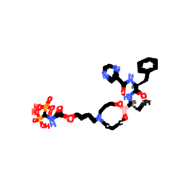 CC(C)C[C@@H](NC(=O)[C@H](Cc1ccccc1)NC(=O)c1cnccn1)B1OCCCN(CCCCOC(=O)NC(P(=O)(O)O)P(=O)(O)O)CCCO1